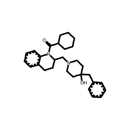 O=C(C1CCCCC1)N1c2ccccc2CCC1CN1CCC(O)(Cc2ccccc2)CC1